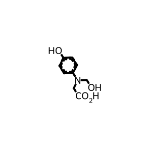 O=C(O)CN(CO)c1ccc(O)cc1